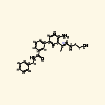 C/C(=N\NCCO)c1nc(-c2cccc(C(=O)NCc3ccccc3)c2)cnc1N